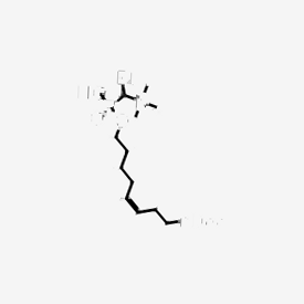 CCCCCCCCCCCC/C=C\CCCCOP(=O)(O)C(CC)[N+](C)(C)C